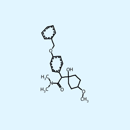 COC1CCC(O)(C(C(=O)N(C)C)c2ccc(OCc3ccccc3)cc2)CC1